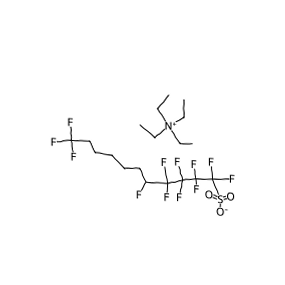 CC[N+](CC)(CC)CC.O=S(=O)([O-])C(F)(F)C(F)(F)C(F)(F)C(F)(F)C(F)CCCCCC(F)(F)F